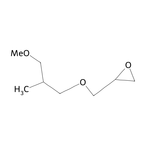 COCC(C)COCC1CO1